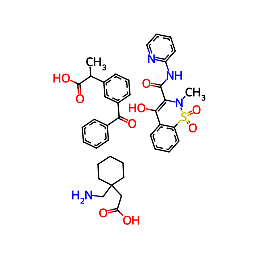 CC(C(=O)O)c1cccc(C(=O)c2ccccc2)c1.CN1C(C(=O)Nc2ccccn2)=C(O)c2ccccc2S1(=O)=O.NCC1(CC(=O)O)CCCCC1